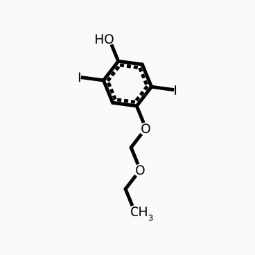 CCOCOc1cc(I)c(O)cc1I